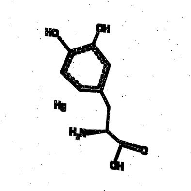 N[C@@H](Cc1ccc(O)c(O)c1)C(=O)O.[Hg]